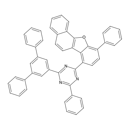 c1ccc(-c2cc(-c3ccccc3)cc(-c3nc(-c4ccccc4)nc(-c4ccc(-c5ccccc5)c5oc6c7ccccc7ccc6c45)n3)c2)cc1